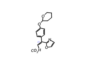 O=C(O)/C=C(/c1ccc(OC2CCCCO2)cc1)c1ncco1